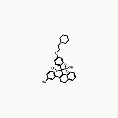 COC(C1=C(c2cccc(O)c2)CCc2ccccc21)(c1ccc(OCCN2CCCCC2)cc1)S(=O)(=O)O